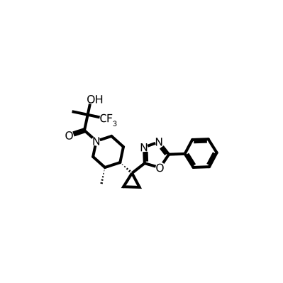 C[C@@H]1CN(C(=O)C(C)(O)C(F)(F)F)CC[C@@H]1C1(c2nnc(-c3ccccc3)o2)CC1